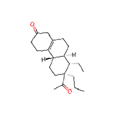 CCC[C@]1(C(C)=O)CC[C@@H]2C3=C(CC[C@H]2[C@@H]1CC)CC(=O)CC3